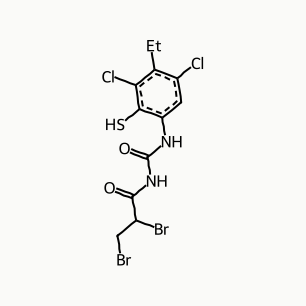 CCc1c(Cl)cc(NC(=O)NC(=O)C(Br)CBr)c(S)c1Cl